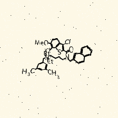 CC[N+](CC)(CCCCN(Cc1ccc2ccccc2c1)C(=O)c1sc2c(Cl)c(OC)ccc2c1Cl)Cc1cc(C)cc(C)c1